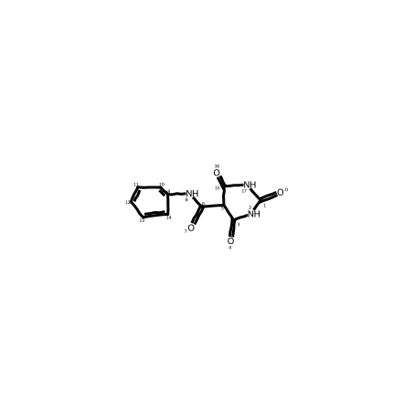 O=C1NC(=O)C(C(=O)Nc2ccccc2)C(=O)N1